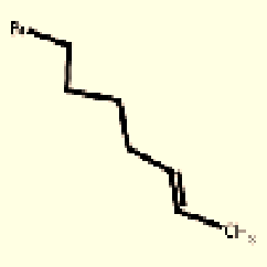 C/C=C/CCCCBr